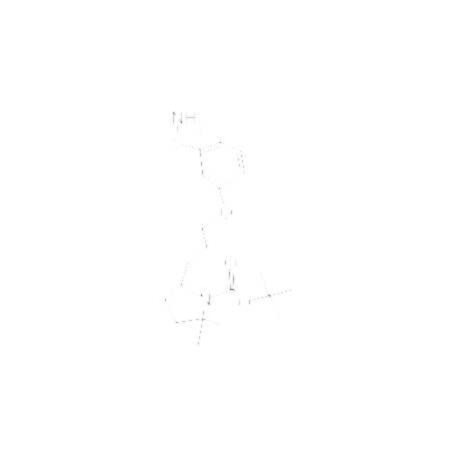 CC(C)(C)OC(=O)N1C(CCCOc2cccc(SN)c2)CCC1(C)C